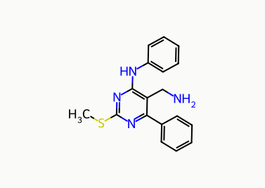 CSc1nc(Nc2ccccc2)c(CN)c(-c2ccccc2)n1